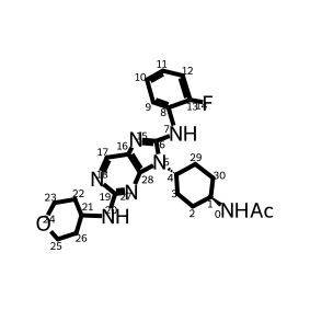 CC(=O)N[C@H]1CC[C@H](n2c(Nc3ccccc3F)nc3cnc(NC4CCOCC4)nc32)CC1